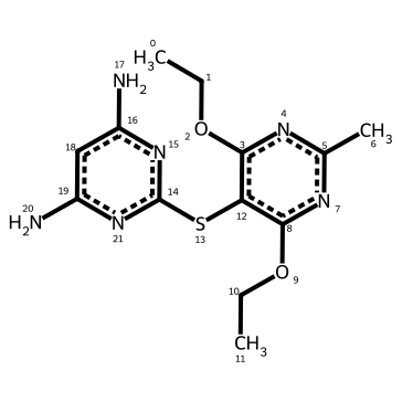 CCOc1nc(C)nc(OCC)c1Sc1nc(N)cc(N)n1